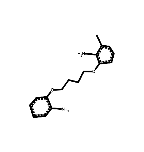 Cc1cccc(OCCCCOc2ccccc2N)c1N